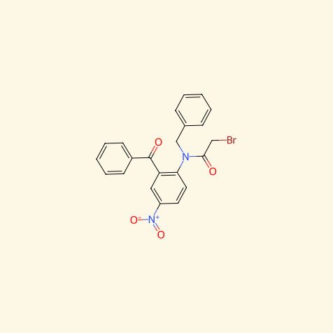 O=C(c1ccccc1)c1cc([N+](=O)[O-])ccc1N(Cc1ccccc1)C(=O)CBr